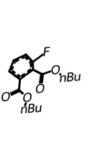 CCCCOC(=O)c1cccc(F)c1C(=O)OCCCC